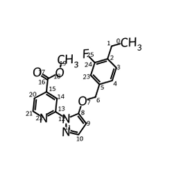 CCc1ccc(COc2ccnn2-c2cc(C(=O)OC)ccn2)cc1F